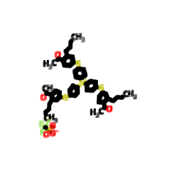 CCCCc1cc(Sc2ccc([S+](c3ccc(Sc4ccc(C(C)=O)c(CCCC)c4)cc3)c3ccc(Sc4ccc(C(C)=O)c(CCCC)c4)cc3)cc2)ccc1C(C)=O.O=S(=O)([O-])C(F)(F)F